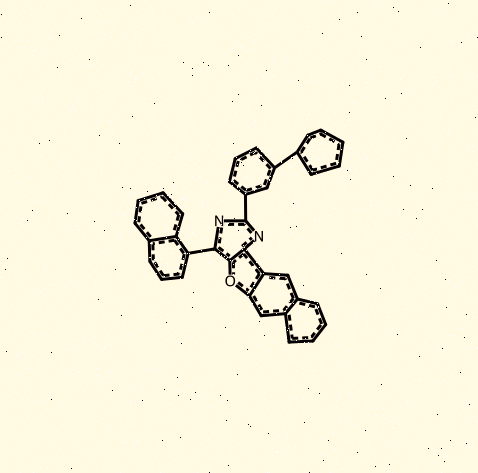 c1ccc(-c2cccc(-c3nc(-c4cccc5ccccc45)c4oc5cc6ccccc6cc5c4n3)c2)cc1